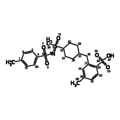 Cc1ccc(S(=O)(=O)N=S(C)(=O)C2CCC(Cc3cc(C)ccc3S(=O)(=O)O)CC2)cc1